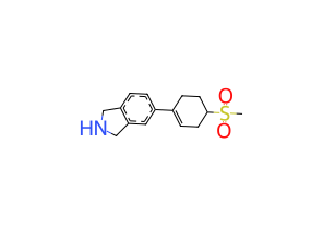 CS(=O)(=O)C1CC=C(c2ccc3c(c2)CNC3)CC1